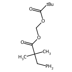 CC(C)(C)C(=O)OCOC(=O)C(C)(C)CP